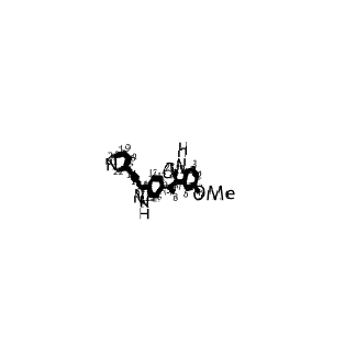 COc1ccc2c(c1)[C@]1(C[C@H]1c1ccc3c(C#Cc4cccnc4)n[nH]c3c1)C(=O)N2